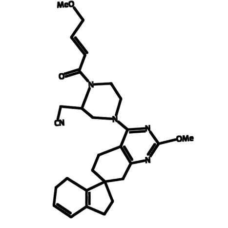 COC/C=C/C(=O)N1CCN(c2nc(OC)nc3c2CCC2(CCC4=C2CCC=C4)C3)CC1CC#N